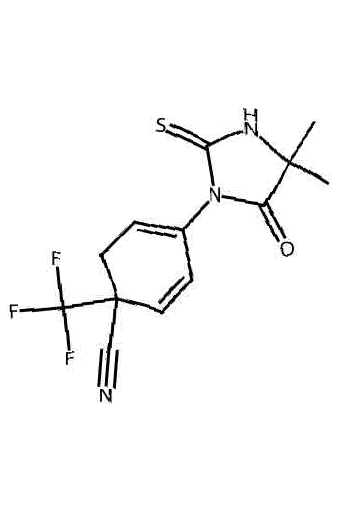 CC1(C)NC(=S)N(C2=CCC(C#N)(C(F)(F)F)C=C2)C1=O